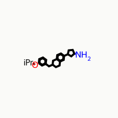 CC(C)Oc1cccc(CC2CCc3cc(C4CCC(N)C4)ccc3C2)c1